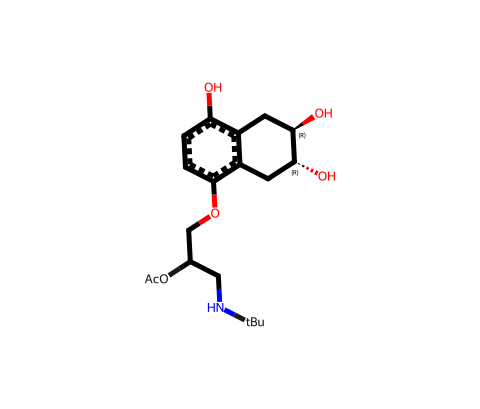 CC(=O)OC(CNC(C)(C)C)COc1ccc(O)c2c1C[C@@H](O)[C@H](O)C2